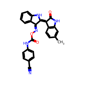 Cc1ccc2c(c1)NC(=O)/C2=C1\Nc2ccccc2\C1=N/OC(=O)Nc1ccc(C#N)cc1